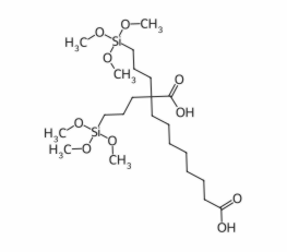 CO[Si](CCCC(CCCCCCCC(=O)O)(CCC[Si](OC)(OC)OC)C(=O)O)(OC)OC